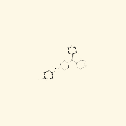 O=S(=O)(c1ccc(Br)cc1)N1CCN(C(c2ccncc2)C2CCNCC2)CC1